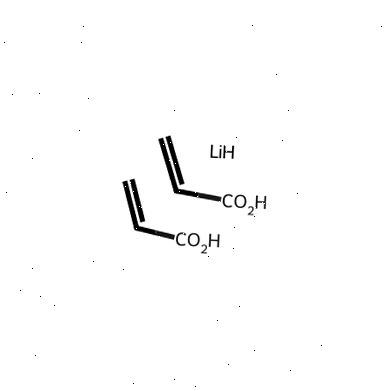 C=CC(=O)O.C=CC(=O)O.[LiH]